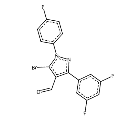 O=Cc1c(-c2cc(F)cc(F)c2)nn(-c2ccc(F)cc2)c1Br